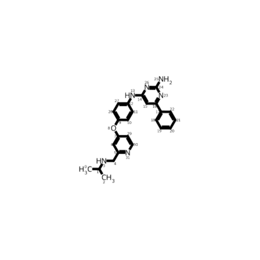 CC(C)NCc1cc(Oc2ccc(Nc3cc(-c4ccccc4)nc(N)n3)cc2)ccn1